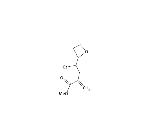 C=C(CC(CC)C1CCO1)C(=O)OC